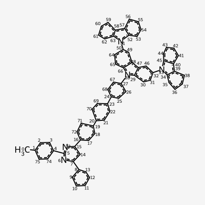 Cc1ccc(-c2nc(-c3ccccc3)cc(-c3ccc(-c4ccc(-c5ccc(-n6c7ccc(-n8c9ccccc9c9ccccc98)cc7c7cc(-n8c9ccccc9c9ccccc98)ccc76)cc5)cc4)cc3)n2)cc1